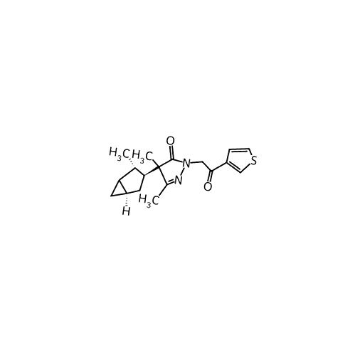 CC1=NN(CC(=O)c2ccsc2)C(=O)C1(C)[C@H]1C[C@H]2CC2[C@@H]1C